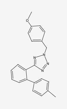 COc1ccc(Cn2nnc(-c3ccccc3-c3ccc(C)cc3)n2)cc1